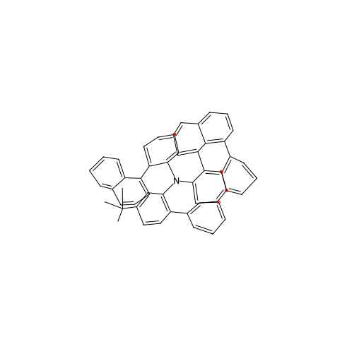 CC(C)(C)c1ccc(-c2ccccc2)c(N(c2ccccc2-c2cccc3ccccc23)c2ccccc2-c2cccc3cccc(-c4ccccc4)c23)c1